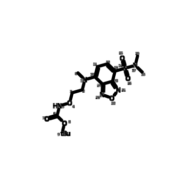 CN(CCONC(=O)OC(C)(C)C)c1ccc(S(=O)(=O)N(C)C)c2nonc12